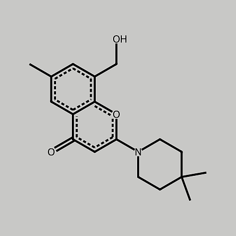 Cc1cc(CO)c2oc(N3CCC(C)(C)CC3)cc(=O)c2c1